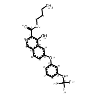 CCCCOC(=O)c1ncc2ccc(Oc3cccc(OC(F)(F)F)c3)cc2c1O